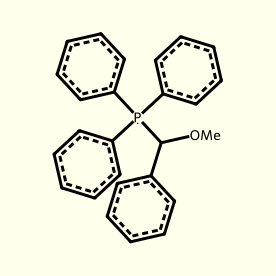 COC(c1ccccc1)[P](c1ccccc1)(c1ccccc1)c1ccccc1